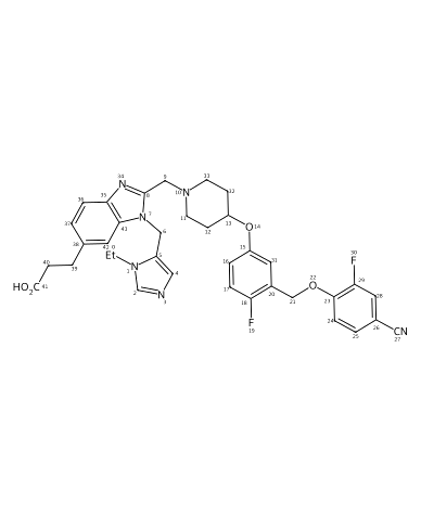 CCn1cncc1Cn1c(CN2CCC(Oc3ccc(F)c(COc4ccc(C#N)cc4F)c3)CC2)nc2ccc(CCC(=O)O)cc21